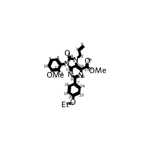 C=CCn1c(=O)n(-c2ccccc2OC)c2nc(-c3ccc(OCC)cc3)nc(C(=O)OC)c21